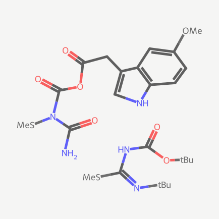 COc1ccc2[nH]cc(CC(=O)OC(=O)N(SC)C(N)=O)c2c1.CSC(=NC(C)(C)C)NC(=O)OC(C)(C)C